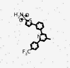 Cc1cc(-c2ccc(C(F)(F)F)cc2)nc(-c2cccc(-c3ccc(S(N)(=O)=O)s3)c2)c1